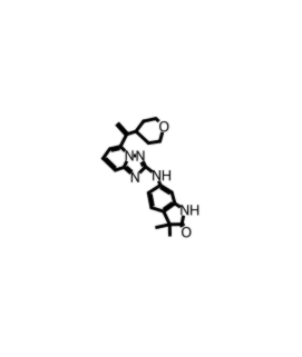 C=C(c1cccc2nc(Nc3ccc4c(c3)NC(=O)C4(C)C)nn12)C1CCOCC1